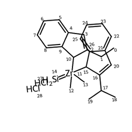 CCC1=Cc2ccccc2[CH]1[Zr]([CH3])([CH3])(=[SiH2])[CH]1C(C(C)C)=Cc2ccccc21.Cl.Cl